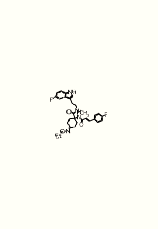 CCON=C1CCC(NC(=O)/C=C/c2ccc(F)cc2)(C(=O)N(C)CCc2c[nH]c3ccc(F)cc23)CC1